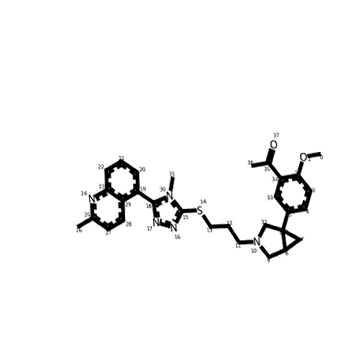 COc1ccc(C23CC2CN(CCCSc2nnc(-c4cccc5nc(C)ccc45)n2C)C3)cc1C(C)=O